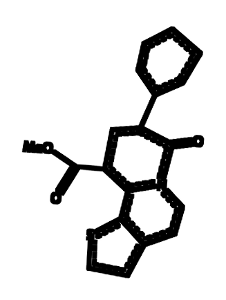 COC(=O)c1cc(-c2ccccc2)c(=O)n2ccc3ccsc3c12